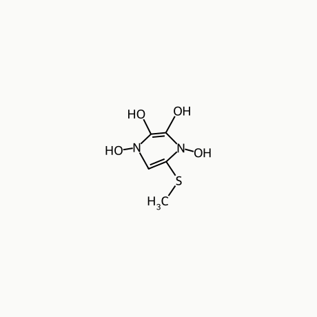 CSC1=CN(O)C(O)=C(O)N1O